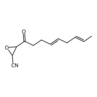 CC=CCC=CCCC(=O)C1OC1C#N